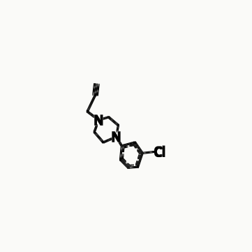 C#CCN1CCN(c2cccc(Cl)c2)CC1